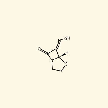 O=C1C(=NS)[C@@H]2SCCN12